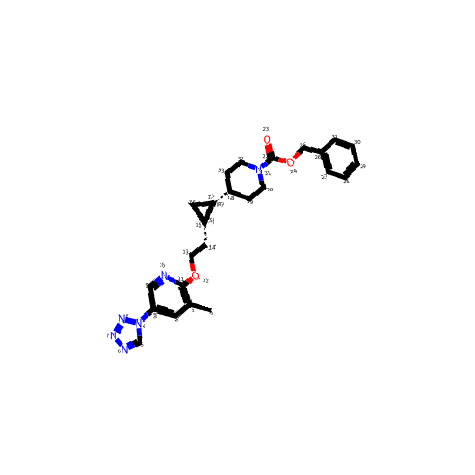 Cc1cc(-n2cnnn2)cnc1OCC[C@@H]1C[C@@H]1C1CCN(C(=O)OCc2ccccc2)CC1